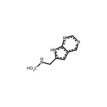 O=C(O)NCc1cc2cncnc2[nH]1